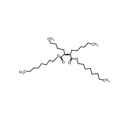 CCCCCCCCOC(=O)/C(CCCCC)=C(/CCCCCC)C(=O)OCCCCCCCC